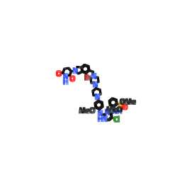 COc1cc(N2CCC(N3CCN(Cc4ccc5c(c4Br)CN(C4CCC(=O)NC4=O)C5)CC3)CC2)ccc1Nc1ncc(Cl)c(Nc2ccccc2P(=O)(OC)OC)n1